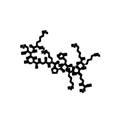 N=C(N)NCC/C=C(\NC(=O)[C@H](CCCCN)NC(=O)C(Cc1cnc[nH]1)NC(=O)[C@@H]1CCCN1C(=O)[C@@H](CCCN)NC(=O)CNC(=O)[C@H](CO)NC(=O)[C@@H](NC(=O)C(N)CCCCN)[C@@H](O)CN)C(=O)N[C@@H](CCCCN)C(=O)NCCCCN